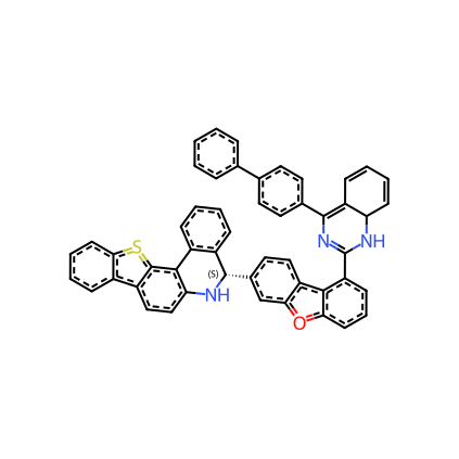 C1=CC2=C(c3ccc(-c4ccccc4)cc3)N=C(c3cccc4oc5cc([C@@H]6Nc7ccc8c(sc9ccccc98)c7-c7ccccc76)ccc5c34)NC2C=C1